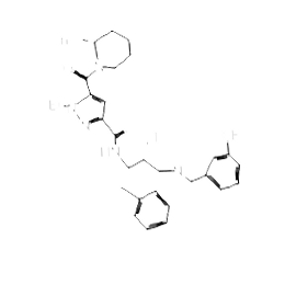 CCC[C@H]1CCCCN1C(=O)c1cc(C(=O)N[C@@H](Cc2ccccc2)[C@H](O)CNCc2cccc(C(F)(F)F)c2)nn1CC